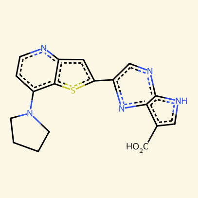 O=C(O)c1c[nH]c2ncc(-c3cc4nccc(N5CCCC5)c4s3)nc12